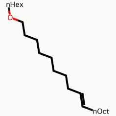 CCCCCCCC/C=C/CCCCCCCCOCCCCCC